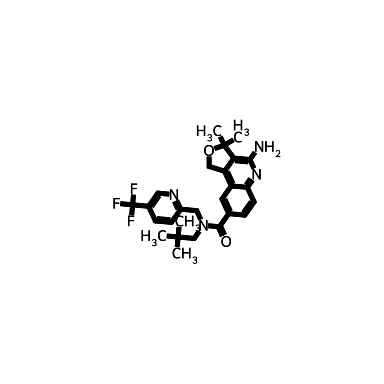 CC(C)(C)CN(Cc1ccc(C(F)(F)F)cn1)C(=O)c1ccc2nc(N)c3c(c2c1)COC3(C)C